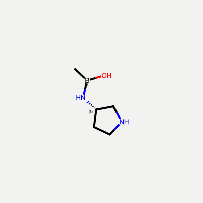 CB(O)N[C@H]1CCNC1